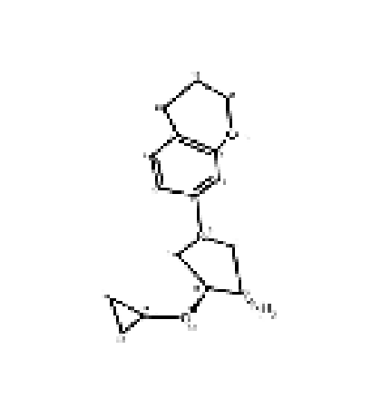 N[C@H]1CN(c2ccc3c(c2)OCCC3)C[C@@H]1OC1CC1